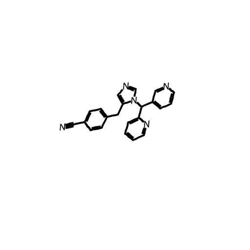 N#Cc1ccc(Cc2cncn2C(c2cccnc2)c2ccccn2)cc1